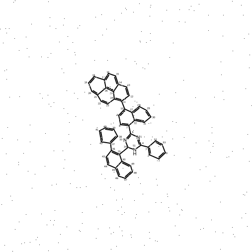 c1ccc(C2=NC(c3ccc(-c4ccc5ccc6cccc7ccc4c5c67)c4ccccc34)=NC(c3c(-c4ccccc4)ccc4ccccc34)N2)cc1